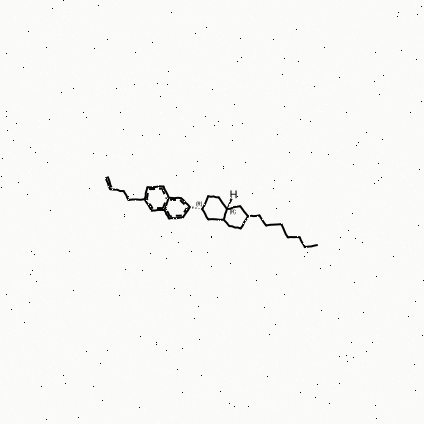 C=CCCc1ccc2cc([C@@H]3CC[C@@H]4CC(CCCCCCC)CCC4C3)ccc2c1